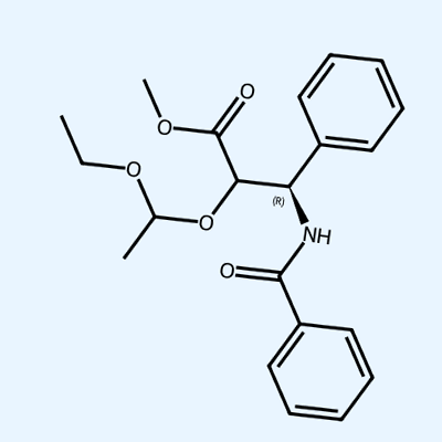 CCOC(C)OC(C(=O)OC)[C@H](NC(=O)c1ccccc1)c1ccccc1